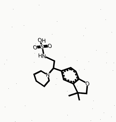 CC1(C)COc2ccc(C(CNS(=O)(=O)O)N3CCCCC3)cc21